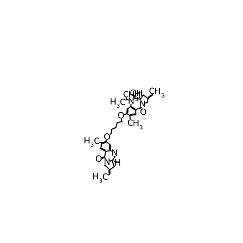 CC=C1C[C@H]2C=Nc3cc(OCCCCCOc4cc5c(cc4C)C(=O)N4C/C(=C/C)C[C@H]4C(O)N5C(C)C)c(C)cc3C(=O)N2C1